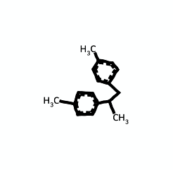 Cc1ccc(CC(C)c2ccc(C)cc2)cc1